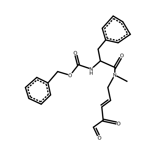 CN(CC=CC(=O)C=O)C(=O)C(Cc1ccccc1)NC(=O)OCc1ccccc1